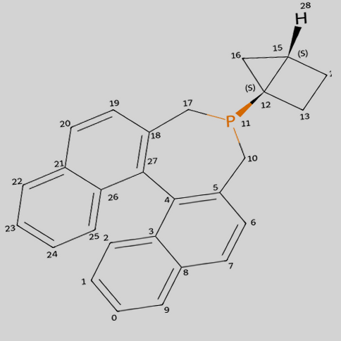 c1ccc2c3c(ccc2c1)CP([C@]12CC[C@H]1C2)Cc1ccc2ccccc2c1-3